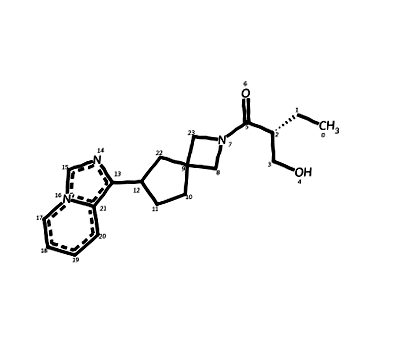 CC[C@H](CO)C(=O)N1CC2(CCC(c3ncn4ccccc34)C2)C1